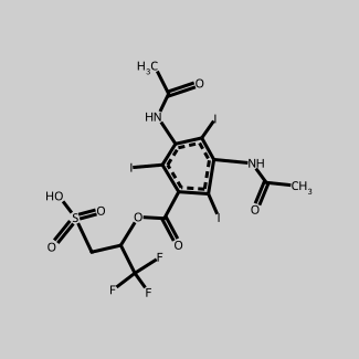 CC(=O)Nc1c(I)c(NC(C)=O)c(I)c(C(=O)OC(CS(=O)(=O)O)C(F)(F)F)c1I